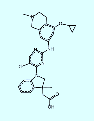 CN1CCc2c(cc(Nc3ncc(Cl)c(N4CC(C)(CC(=O)O)c5ccccc54)n3)cc2OC2CC2)C1